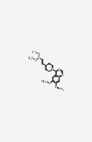 COc1cc2ncnc(N3CCC(CCP(OC)OC)CC3)c2cc1OC